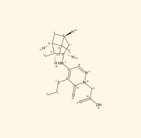 CCSc1c(N[C@@H]2C[C@H]3C[C@H]([C@@H]2C)C3(C)C)cnn(CC(=O)O)c1=O